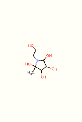 CC1(O)C(O)C(O)C(O)N1CCO